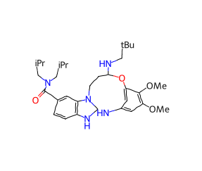 COc1cc2cc(c1OC)OC(NCC(C)(C)C)CCN1c3cc(C(=O)N(CC(C)C)CC(C)C)ccc3NC1N2